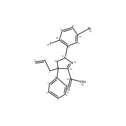 C=CCC1(c2ccccc2)CN(c2cc(Br)ccc2F)N=C1C(=O)O